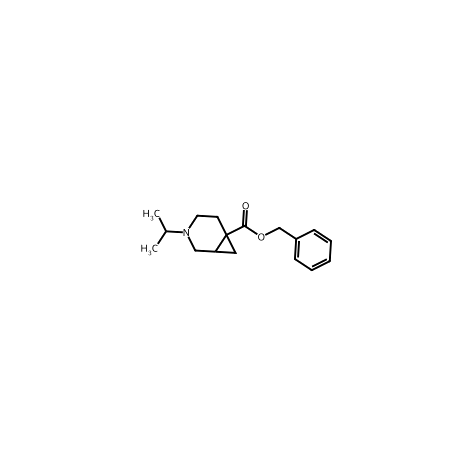 CC(C)N1CCC2(C(=O)OCc3ccccc3)CC2C1